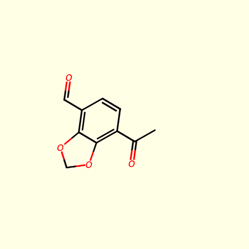 CC(=O)c1ccc(C=O)c2c1OCO2